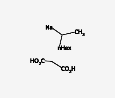 CCCCCC[CH](C)[Na].O=C(O)CC(=O)O